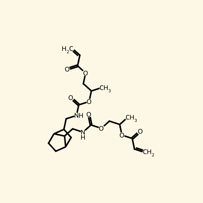 C=CC(=O)OCC(C)OC(=O)NCC1CC2CCC1C2CNC(=O)OCC(C)OC(=O)C=C